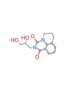 O=c1c2cccc3c2n(c(=O)n1CC(O)CO)CCC3